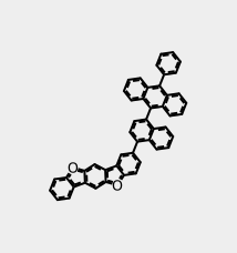 c1ccc(-c2c3ccccc3c(-c3ccc(-c4ccc5oc6cc7c(cc6c5c4)oc4ccccc47)c4ccccc34)c3ccccc23)cc1